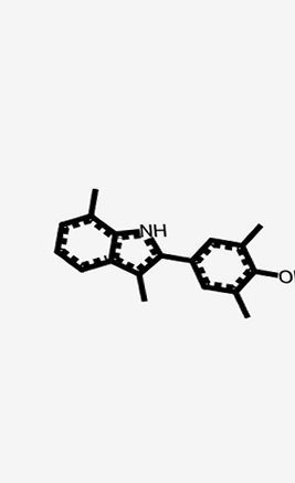 Cc1cc(-c2[nH]c3c(C)cccc3c2C)cc(C)c1O